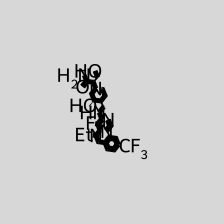 CCN(Cc1ccc(C(F)(F)F)cc1)c1ncnc(NC[C@@H]2CCN([C@H](CO)C(N)=O)C[C@H]2O)c1F